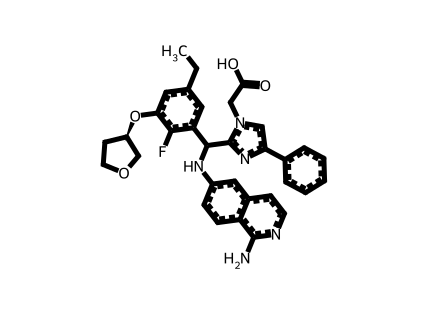 CCc1cc(O[C@@H]2CCOC2)c(F)c(C(Nc2ccc3c(N)nccc3c2)c2nc(-c3ccccc3)cn2CC(=O)O)c1